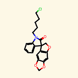 O=C1N(CCCCCCl)c2ccccc2C12COc1cc3c(cc12)OCO3